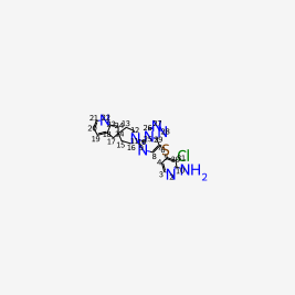 Nc1nccc(Sc2cnc(N3CCC4(CC3)Cc3cccnc3C4)n3cnnc23)c1Cl